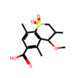 COC1c2c(C)c(C(=O)O)cc(C)c2S(=O)(=O)CC1C